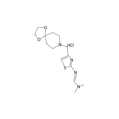 CN(C)C=Nc1nc(CN2CCC3(CC2)OCCO3)cs1.Cl